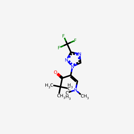 CN(C)/C=C(\C(=O)C(C)(C)C)n1cnc(C(F)(F)F)n1